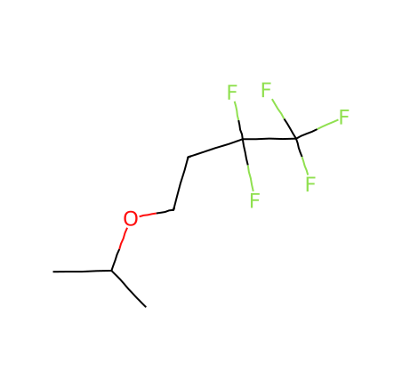 CC(C)OCCC(F)(F)C(F)(F)F